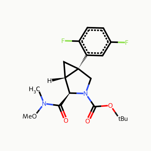 CON(C)C(=O)[C@H]1[C@@H]2C[C@@]2(c2cc(F)ccc2F)CN1C(=O)OC(C)(C)C